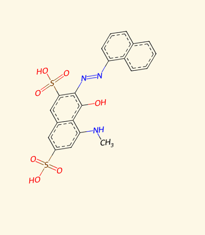 CNc1cc(S(=O)(=O)O)cc2cc(S(=O)(=O)O)c(N=Nc3cccc4ccccc34)c(O)c12